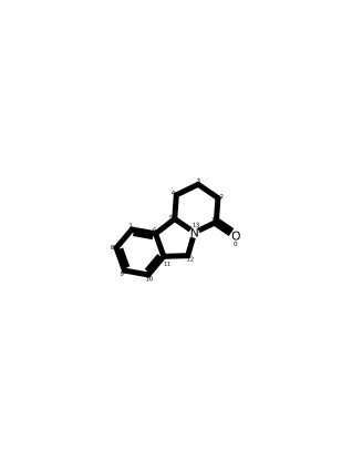 O=C1CCCC2c3ccccc3CN12